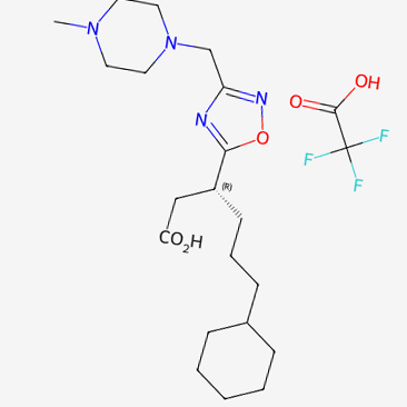 CN1CCN(Cc2noc([C@H](CCCC3CCCCC3)CC(=O)O)n2)CC1.O=C(O)C(F)(F)F